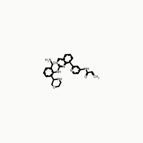 C=CC(=O)Nc1ccnc(-c2cccc3cnc(Nc4c(C(N)=O)cccc4C4COCCN4)nc23)c1